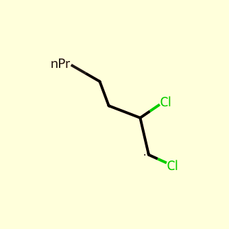 [CH2]CCCCC(Cl)[CH]Cl